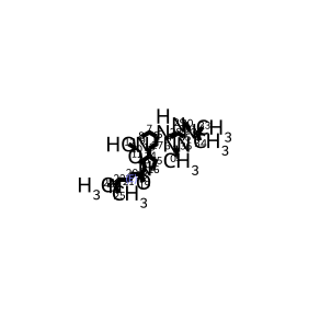 CCc1nc(NC2CCN(C(=O)O)C(C3CCN(C(=O)/C=C/CN(C)C)C3)C2)c2ncn(C(C)C)c2n1